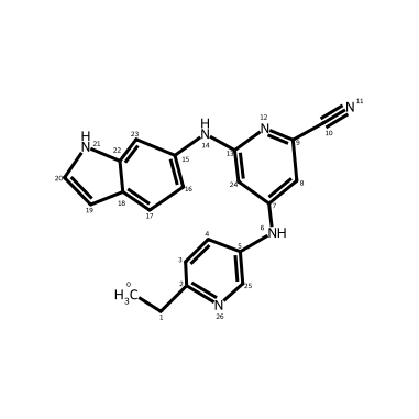 CCc1ccc(Nc2cc(C#N)nc(Nc3ccc4cc[nH]c4c3)c2)cn1